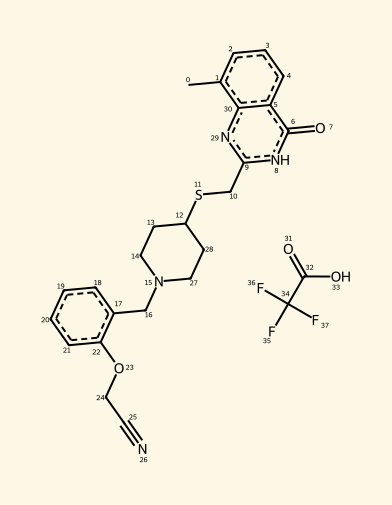 Cc1cccc2c(=O)[nH]c(CSC3CCN(Cc4ccccc4OCC#N)CC3)nc12.O=C(O)C(F)(F)F